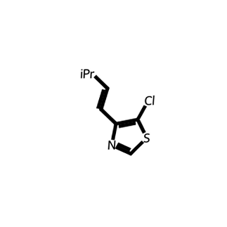 CC(C)/C=C/c1ncsc1Cl